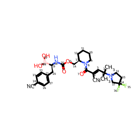 CC(C)(C=C(C#N)C(=O)N1CCCC[C@@H]1COC(=O)N[C@@H](Cc1ccc(C#N)cc1)B(O)O)N1CCC(F)(F)C1